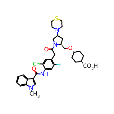 Cn1cc(C(=O)Nc2cc(F)c(CC(=O)N3C[C@@H](N4CCSCC4)C[C@H]3CO[C@H]3CC[C@H](C(=O)O)CC3)cc2Cl)c2ccccc21